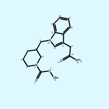 CC(C)(C)OC(=O)N1CCCC(Cn2cc(CC(N)=O)c3ccccc32)C1